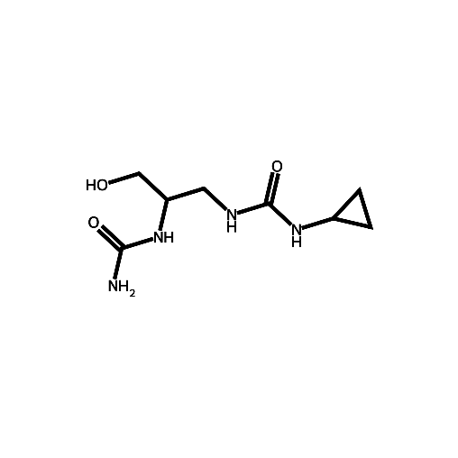 NC(=O)NC(CO)CNC(=O)NC1CC1